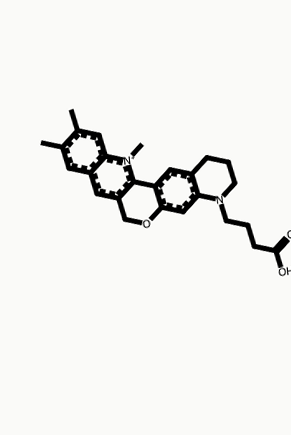 Cc1cc2cc3c([n+](C)c2cc1C)-c1cc2c(cc1OC3)N(CCCC(=O)O)CCC2